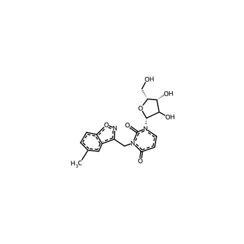 Cc1ccc2onc(Cn3c(=O)ccn([C@@H]4O[C@H](CO)[C@H](O)C4O)c3=O)c2c1